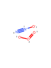 N#[N+][O-].O=[O+][O-]